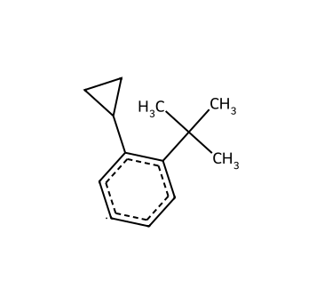 CC(C)(C)c1cc[c]cc1C1CC1